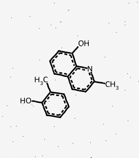 Cc1ccc2cccc(O)c2n1.Cc1ccccc1O